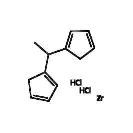 CC(C1=CC=CC1)C1=CC=CC1.Cl.Cl.[Zr]